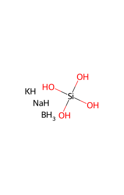 B.O[Si](O)(O)O.[KH].[NaH]